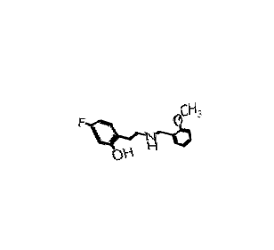 COc1ccccc1CNCCc1ccc(F)cc1O